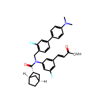 COC(=O)/C=C/c1cc(F)cc(N(Cc2ccc(-c3ccc(N(C)C)cc3)cc2F)C(=O)[C@@H]2C[C@H]3CC[C@@H]2C3)c1